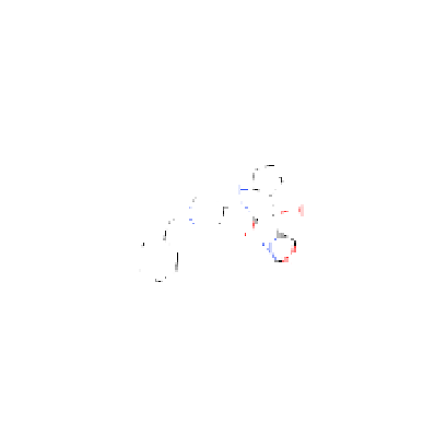 O=C(NC1CCN(CC2CCCCCC2)CC1)C(O)(c1cocn1)C1CCCC1